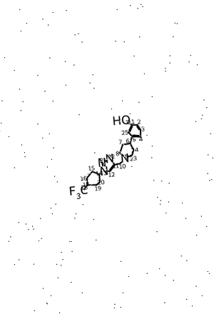 Oc1cccc(C2CCN(Cc3cn([C@H]4CC[C@H](C(F)(F)F)CC4)nn3)CC2)c1